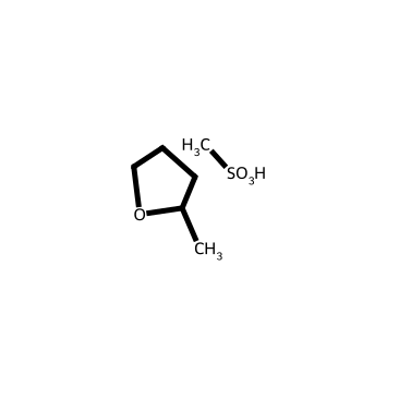 CC1CCCO1.CS(=O)(=O)O